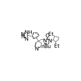 CCCCc1cn(C2C(CC)CCC2CC)c(=O)n1CC1(c2cccc(-c3nnn[nH]3)c2)C=CN=CC1